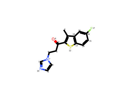 Cc1c(C(=O)CCn2ccnc2)sc2ccc(F)cc12